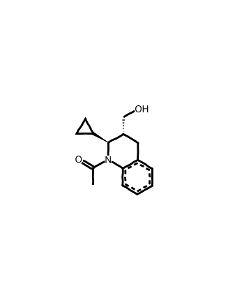 CC(=O)N1c2ccccc2C[C@@H](CO)[C@@H]1C1CC1